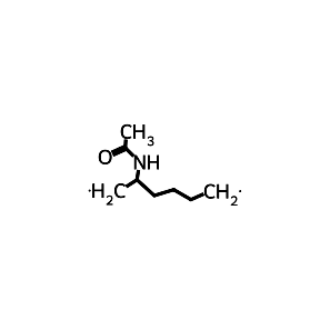 [CH2]CCCC([CH2])NC(C)=O